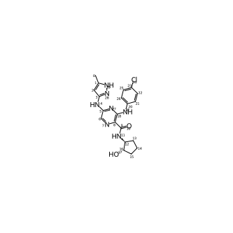 Cc1cc(Nc2cnc(C(=O)N[C@H]3CCC[C@@H]3O)c(Nc3ccc(Cl)cc3)n2)n[nH]1